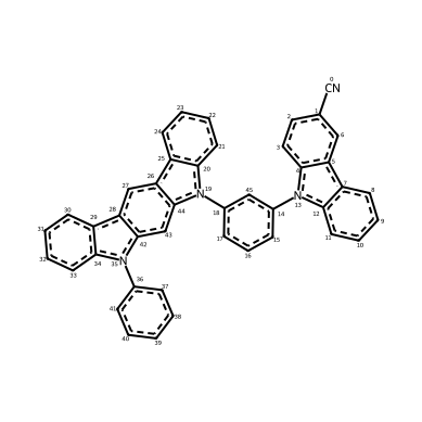 N#Cc1ccc2c(c1)c1ccccc1n2-c1cccc(-n2c3ccccc3c3cc4c5ccccc5n(-c5ccccc5)c4cc32)c1